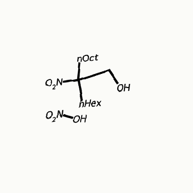 CCCCCCCCC(CO)(CCCCCC)[N+](=O)[O-].O=[N+]([O-])O